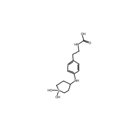 O=C(O)NCCc1ccc(NC2CCS(O)(O)CC2)cc1